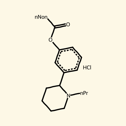 CCCCCCCCCC(=O)Oc1cccc(C2CCCCN2CCC)c1.Cl